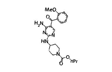 CCCOC(=O)N1CCC(Nc2ncc(C(=O)c3ccccc3OC)c(N)n2)CC1